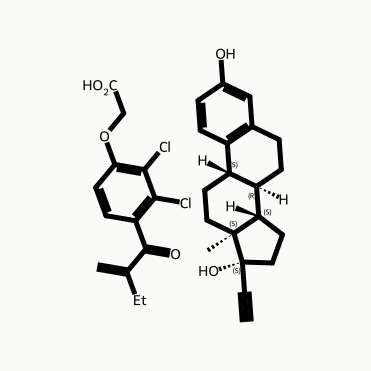 C#C[C@]1(O)CC[C@H]2[C@@H]3CCc4cc(O)ccc4[C@H]3CC[C@@]21C.C=C(CC)C(=O)c1ccc(OCC(=O)O)c(Cl)c1Cl